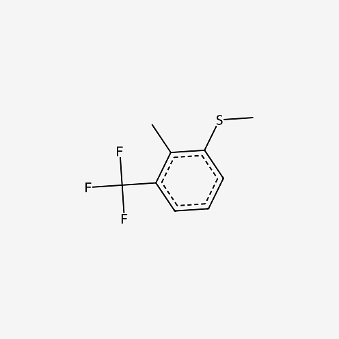 CSc1cccc(C(F)(F)F)c1C